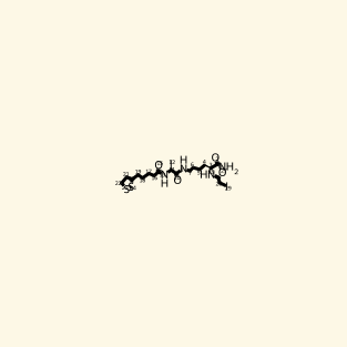 NC(=O)[C@H](CCCCNC(=O)[C@H](I)NC(=O)CCCCC1CCSS1)NC(=O)CI